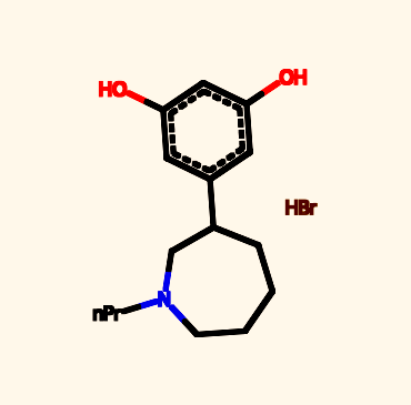 Br.CCCN1CCCCC(c2cc(O)cc(O)c2)C1